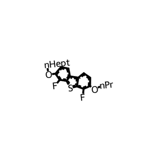 CCCCCCCOc1ccc2c(sc3c(F)c(OCCC)ccc32)c1F